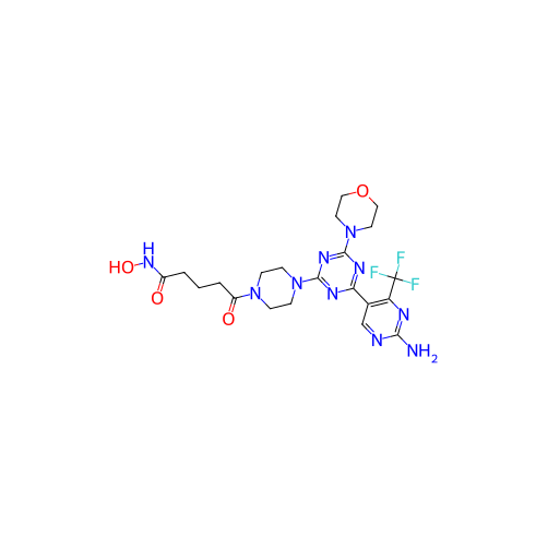 Nc1ncc(-c2nc(N3CCOCC3)nc(N3CCN(C(=O)CCCC(=O)NO)CC3)n2)c(C(F)(F)F)n1